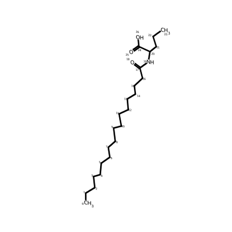 CCCCCCCCCCCCCCCCCC(=O)NC(CCC)C(=O)O